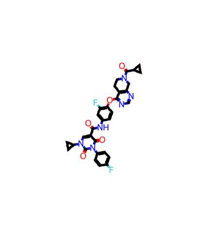 O=C(Nc1ccc(Oc2ncnc3c2CCN(C(=O)C2CC2)C3)c(F)c1)c1cn(C2CC2)c(=O)n(-c2ccc(F)cc2)c1=O